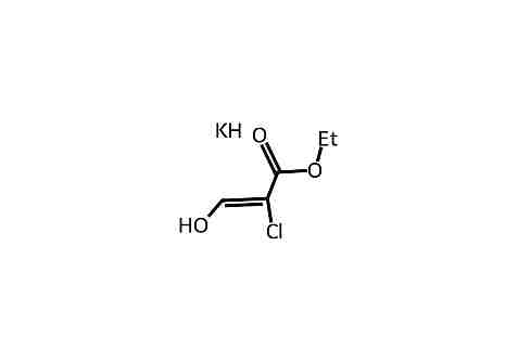 CCOC(=O)C(Cl)=CO.[KH]